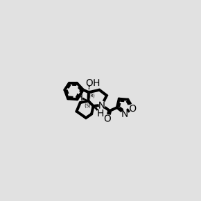 O=C(c1ccon1)N1CC[C@](O)(c2ccccc2)[C@H]2CCCC[C@H]21